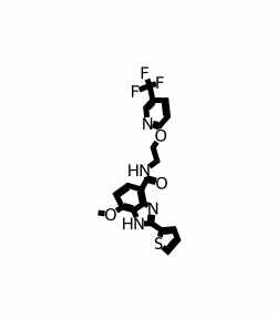 COc1ccc(C(=O)NCCOc2ccc(C(F)(F)F)cn2)c2nc(-c3cccs3)[nH]c12